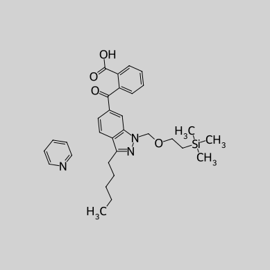 CCCCCc1nn(COCC[Si](C)(C)C)c2cc(C(=O)c3ccccc3C(=O)O)ccc12.c1ccncc1